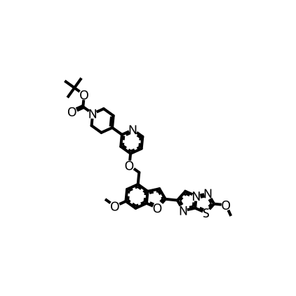 COc1cc(COc2ccnc(C3=CCN(C(=O)OC(C)(C)C)CC3)c2)c2cc(-c3cn4nc(OC)sc4n3)oc2c1